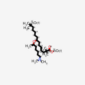 C=C(CCCCCN(C)C)OC(CCCCCC(C)(C)CCCCCCCC)CCCCCC(C)(C)C(=O)OCCCCCCCC